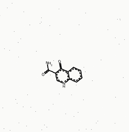 NC(=O)c1c[nH]c2ccccc2c1=O